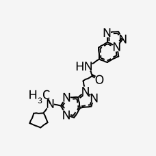 CN(c1ncc2cnn(CC(=O)Nc3ccn4ncnc4c3)c2n1)C1CCCC1